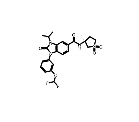 CC(C)n1c(=O)n(-c2cccc(OC(F)F)c2)c2ccc(C(=O)N[C@@]3(C)CCS(=O)(=O)C3)cc21